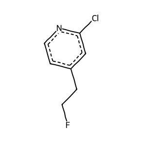 FCCc1ccnc(Cl)c1